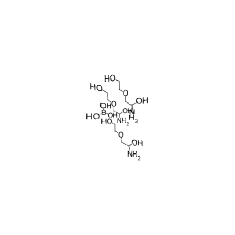 NC(O)COCCO.NC(O)COCCO.NC(O)COCCO.OB(O)O